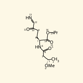 CO[C@@H](C)CC(=O)N[C@@H](CCC(=O)C=N)C(=O)OC(C)C